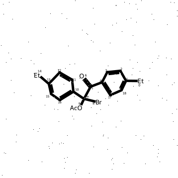 CCc1ccc(C(=O)C(Br)(OC(C)=O)c2ccc(CC)cc2)cc1